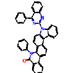 O=c1c2ccccc2c2ccc3c(ccc4c3c3ccccc3n4-c3nc(-c4ccccc4)c4ccccc4n3)c2n1-c1ccccc1